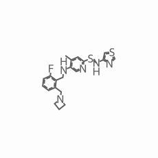 Cc1cc(SNc2cscn2)ncc1NCc1c(F)cccc1CN1CCC1